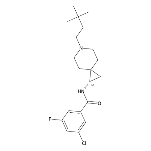 CC(C)(C)CCN1CCC2(CC1)C[C@@H]2NC(=O)c1cc(F)cc(Cl)c1